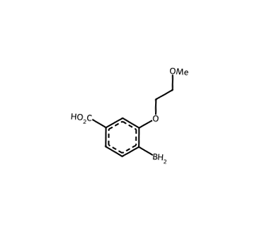 Bc1ccc(C(=O)O)cc1OCCOC